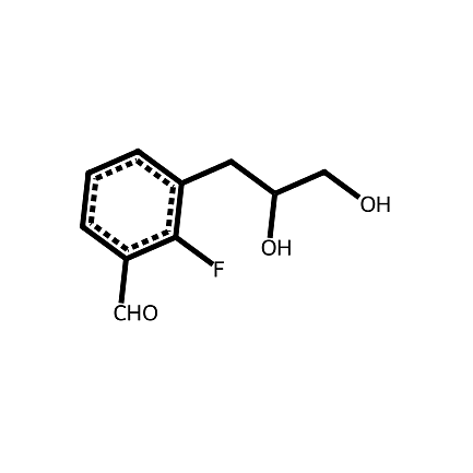 O=Cc1cccc(CC(O)CO)c1F